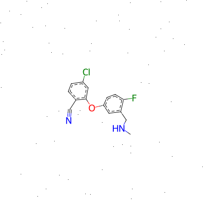 CNCc1cc(Oc2cc(Cl)ccc2C#N)ccc1F